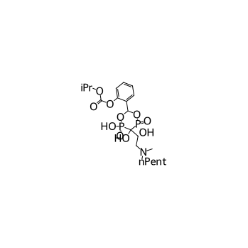 CCCCCN(C)CCC1(O)P(=O)(O)OC(c2ccccc2OC(=O)OC(C)C)OP1(=O)O